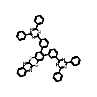 c1ccc(-c2nc(-c3ccccc3)nc(-c3cccc(-c4cc5c(cc4-c4cccc(-c6nc(-c7ccccc7)nc(-c7ccccc7)n6)c4)Sc4nc6ccccc6nc4S5)c3)n2)cc1